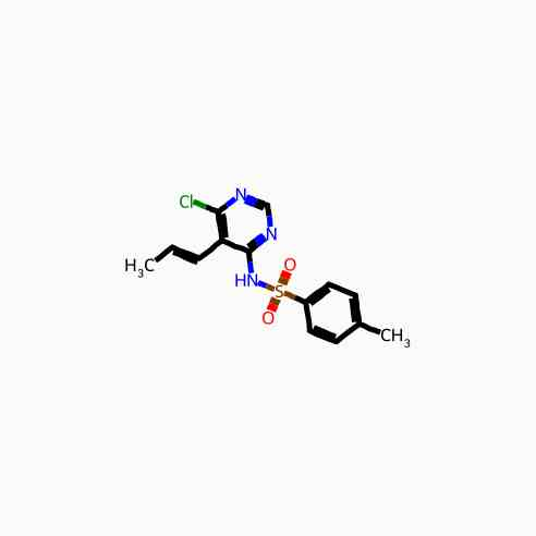 CC=Cc1c(Cl)ncnc1NS(=O)(=O)c1ccc(C)cc1